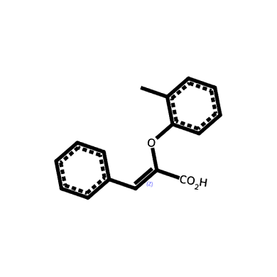 Cc1ccccc1O/C(=C\c1ccccc1)C(=O)O